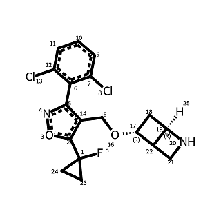 FC1(c2onc(-c3c(Cl)cccc3Cl)c2CO[C@@H]2C[C@H]3NCC32)CC1